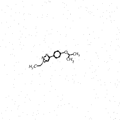 CCn1cc(-c2ccc(OC(C)C)cc2)nn1